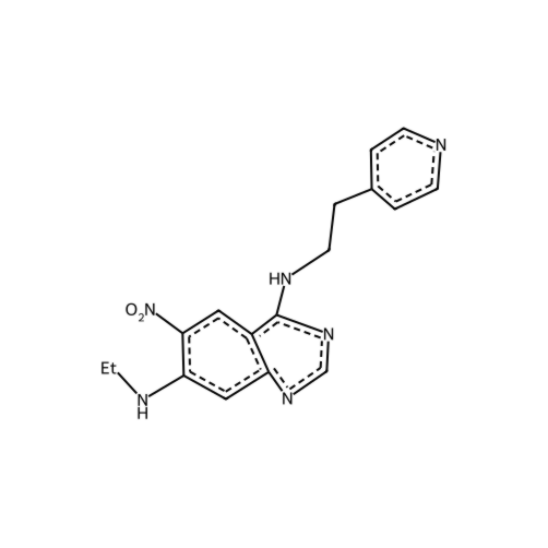 CCNc1cc2ncnc(NCCc3ccncc3)c2cc1[N+](=O)[O-]